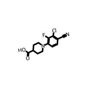 N#Cc1ccc(N2CCC(C(=O)O)CC2)c(F)c1Cl